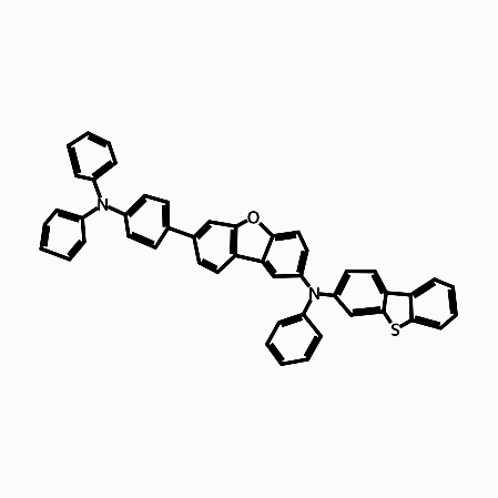 c1ccc(N(c2ccccc2)c2ccc(-c3ccc4c(c3)oc3ccc(N(c5ccccc5)c5ccc6c(c5)sc5ccccc56)cc34)cc2)cc1